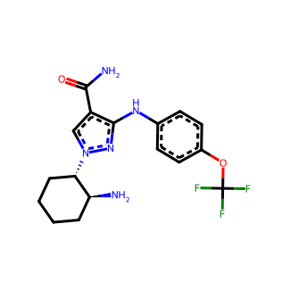 NC(=O)c1cn([C@H]2CCCC[C@@H]2N)nc1Nc1ccc(OC(F)(F)F)cc1